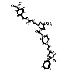 O=C(N=CN1CC(S)C[C@H]1C(=O)N1CCN(C=NC(=O)OC(c2ccccc2)[N+](=O)[O-])CC1)OCc1ccc([N+](=O)[O-])cc1